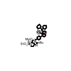 CCCCc1nc2c(n1Cc1ccc(-c3ccccc3-c3nnnn3C(c3ccccc3)(c3ccccc3)c3ccccc3)cc1)C(C(C)=O)(C(=O)OC)N(C(=O)OCC)CC2